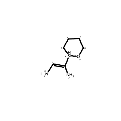 NC=C(N)[SiH]1CCCCO1